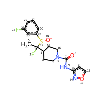 CC(F)(C1CCN(C(=O)Nc2ccon2)CC1)[S+]([O-])c1cccc(F)c1